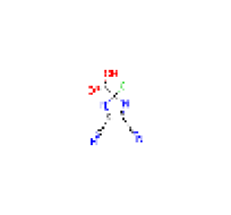 N#CC1=NC(Cl)(C(=O)O)N=C1C#N